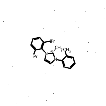 Cc1ccccc1N1C=CN(c2c(C(C)C)cccc2C(C)C)[C@@H]1C